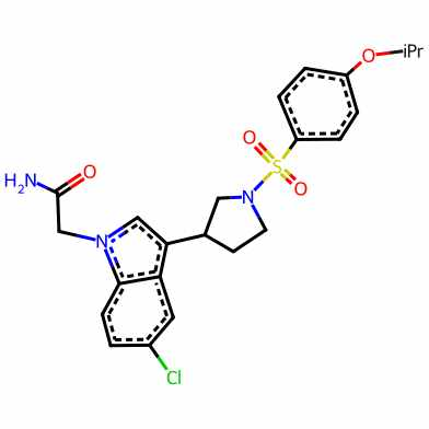 CC(C)Oc1ccc(S(=O)(=O)N2CCC(c3cn(CC(N)=O)c4ccc(Cl)cc34)C2)cc1